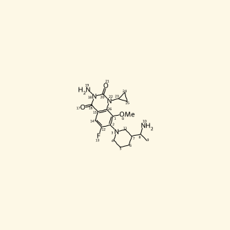 COc1c(N2CCCC(C(C)N)C2)c(F)cc2c(=O)n(N)c(=O)n(C3CC3)c12